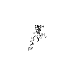 C=CCN.O=S(=O)(O)CC(F)CCCCCCCCF